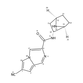 N#Cc1cc2cnc(C(=O)N[C@@H]3C[C@H]4CC[C@@H]3N4)cn2c1